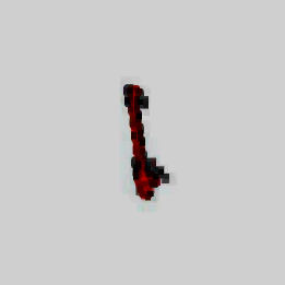 CC(C)(C)[C@H](c1nc(-c2cc(F)ccc2F)cn1Cc1ccccc1)N(CCCN)C(=O)C[S+]([O-])CCNC(=O)CCOCCOCCOCCOCCOCCOCCOCCOCCNC(=O)CCN1C(=O)C=CC1=O